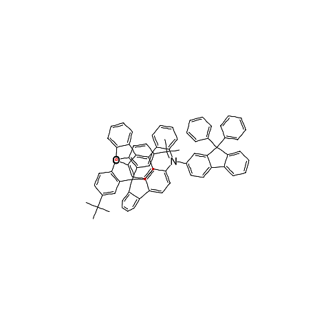 CC(C)(C)c1ccc2c(c1)C1(c3cc(C(C)(C)C)ccc3O2)c2ccccc2-c2ccc(N(c3ccc4c(c3)C(c3ccccc3)(c3ccccc3)c3ccccc3-4)c3ccccc3-c3cccc4oc5ccccc5c34)cc21